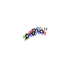 O=C1CC[C@H](CN(C(=O)O)C2CCOc3c(C(=O)Nc4ccc(F)c(F)c4)cccc32)N1